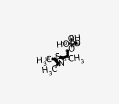 Cc1nc(C(C)COP(=O)(O)O)sc1C